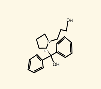 OCCCN1CCC[C@H]1C(O)(c1ccccc1)c1ccccc1